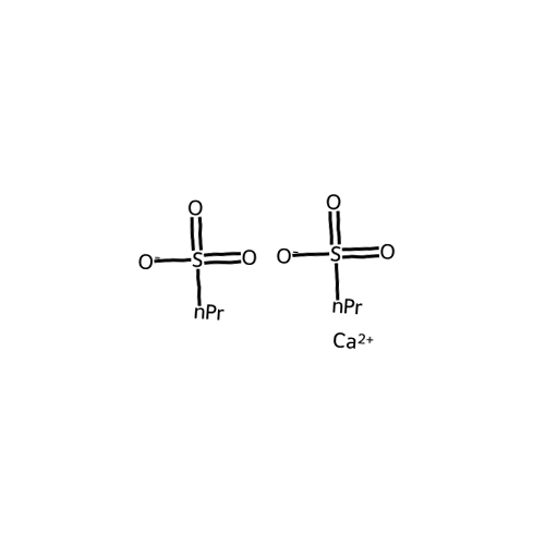 CCCS(=O)(=O)[O-].CCCS(=O)(=O)[O-].[Ca+2]